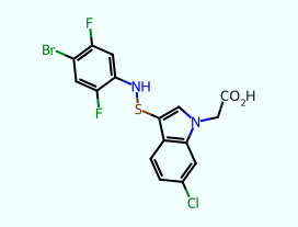 O=C(O)Cn1cc(SNc2cc(F)c(Br)cc2F)c2ccc(Cl)cc21